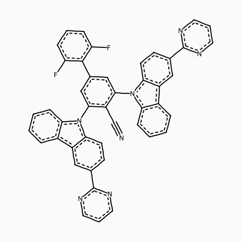 N#Cc1c(-n2c3ccccc3c3cc(-c4ncccn4)ccc32)cc(-c2c(F)cccc2F)cc1-n1c2ccccc2c2cc(-c3ncccn3)ccc21